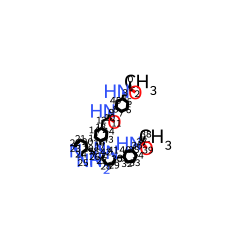 CC(=O)Nc1cccc(NC(=O)Cc2ccc(-n3c(-c4cccnc4N)nc4ccc(-c5cccc(NC(C)=O)c5)nc43)cc2)c1